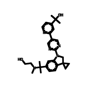 CN(CCO)C(C)(C)c1ccc2c(c1)N(c1ncc(-c3cc(C(C)(C)O)ccn3)cn1)CC21CC1